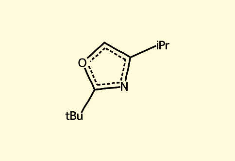 CC(C)c1coc(C(C)(C)C)n1